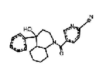 N#Cc1ccc(C(=O)N2CCC(O)(c3ccccc3)C3CCCCC32)cn1